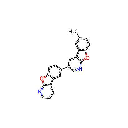 Cc1ccc2oc3ncc(-c4ccc5oc6ncccc6c5c4)cc3c2c1